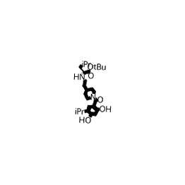 CC(C)C[C@H](NCCC1CCN(C(=O)c2cc(C(C)C)c(O)cc2O)CC1)C(=O)OC(C)(C)C